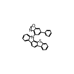 c1ccc(-c2cc(-n3c4ccccc4c4ccc5c6ccccc6sc5c43)c3ncoc3c2)cc1